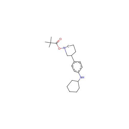 CC(C)(C)C(=O)ON1CCCC(c2ccc(NC3CCCCC3)cc2)C1